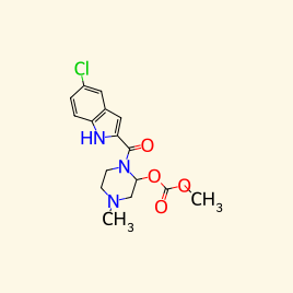 COC(=O)OC1CN(C)CCN1C(=O)c1cc2cc(Cl)ccc2[nH]1